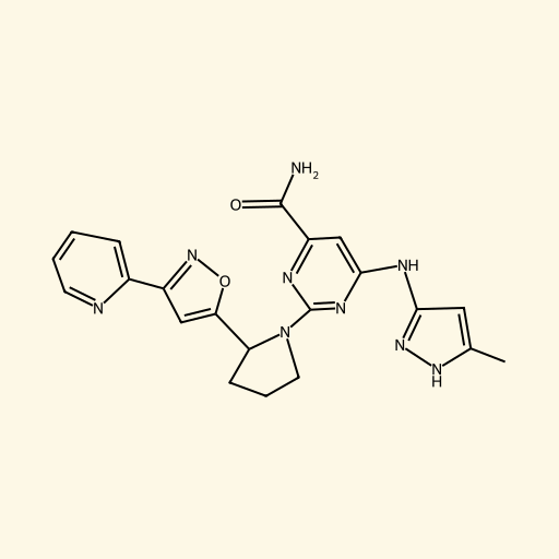 Cc1cc(Nc2cc(C(N)=O)nc(N3CCCC3c3cc(-c4ccccn4)no3)n2)n[nH]1